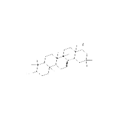 C[C@H]1CC(C)(C)CC2C3=CCC4C5(C)CCC(O)C(C)(C)C5CCC4(C)C3(C)CCC21C